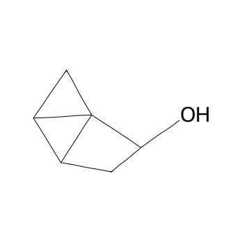 OC1CC2C3CC123